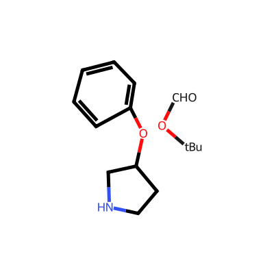 CC(C)(C)OC=O.c1ccc(OC2CCNC2)cc1